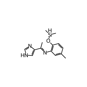 CC(=Nc1cc(C)ccc1O[SiH](C)C)c1c[nH]cn1